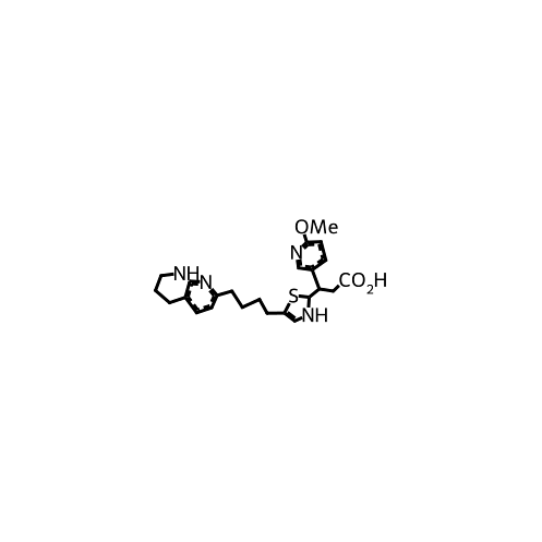 COc1ccc(C(CC(=O)O)C2NC=C(CCCCc3ccc4c(n3)NCCC4)S2)cn1